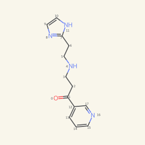 O=C(CCNCCc1ncc[nH]1)c1cccnc1